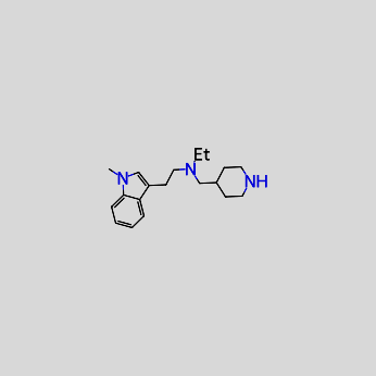 CCN(CCc1cn(C)c2ccccc12)CC1CCNCC1